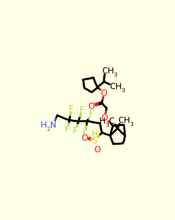 CC(C)C1(OC(=O)COC2CC3CCC2(C(CC(F)(F)C(F)(F)C(F)(F)CN)[SH](=O)=O)C3(C)C)CCCC1